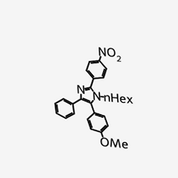 CCCCCCn1c(-c2ccc([N+](=O)[O-])cc2)nc(-c2ccccc2)c1-c1ccc(OC)cc1